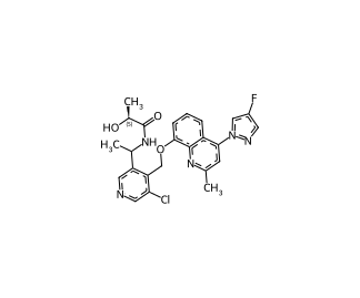 Cc1cc(-n2cc(F)cn2)c2cccc(OCc3c(Cl)cncc3C(C)NC(=O)[C@H](C)O)c2n1